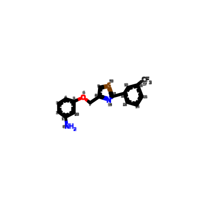 Nc1cccc(OCc2csc(-c3cccc(C(F)(F)F)c3)n2)c1